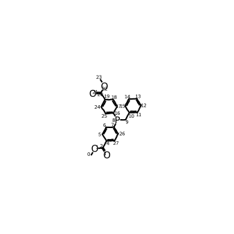 COC(=O)c1ccc(P(Cc2ccccc2)c2ccc(C(=O)OC)cc2)cc1